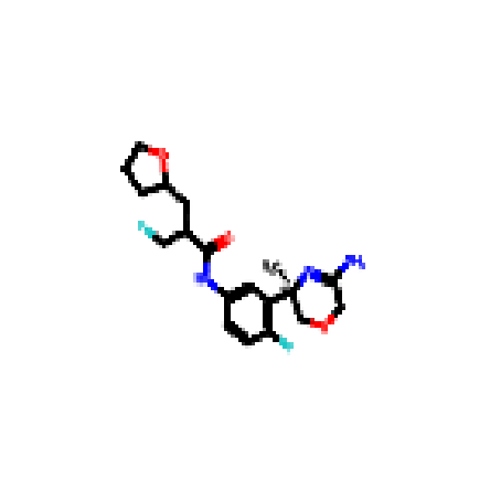 C[C@@]1(c2cc(NC(=O)C(CF)CC3CCCO3)ccc2F)COCC(N)=N1